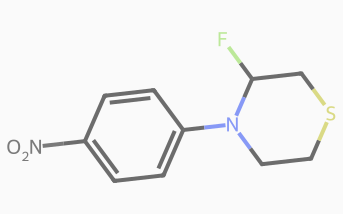 O=[N+]([O-])c1ccc(N2CCSCC2F)cc1